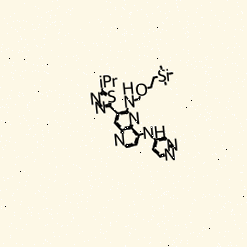 CC(C)c1nnc(-c2cc3nccc(Nc4ccnnc4)c3nc2NCOCC[Si](C)(C)C)s1